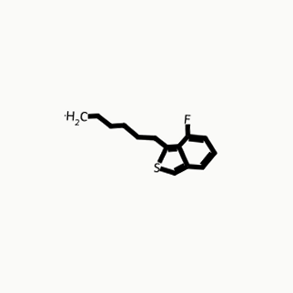 [CH2]CCCCCc1scc2cccc(F)c12